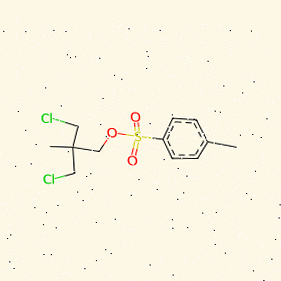 Cc1ccc(S(=O)(=O)OCC(C)(CCl)CCl)cc1